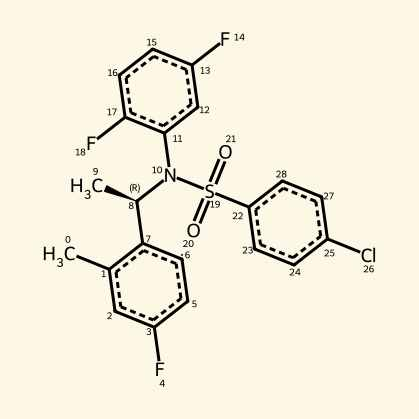 Cc1cc(F)c[c]c1[C@@H](C)N(c1cc(F)ccc1F)S(=O)(=O)c1ccc(Cl)cc1